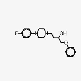 OC(CCN1CCN(c2ccc(F)cc2)CC1)COc1ccccc1